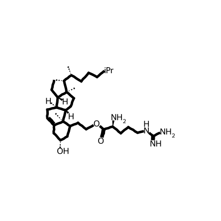 CC(C)CCC[C@@H](C)[C@H]1CC[C@H]2[C@@H]3CC=C4C[C@@H](O)CC(CCOC(=O)[C@@H](N)CCCNC(=N)N)[C@]4(C)[C@H]3CC[C@]12C